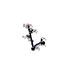 CCCCN1/C(=C/C=C/C=C/C=C/C2=[N+](CCCCCC(=O)NCCCN(CCCCN(CCCNC(=O)OC(C)(C)C)C(=O)OC(C)(C)C)C(=O)OC(C)(C)C)c3ccccc3C2(C)C)C(C)(C)c2ccccc21